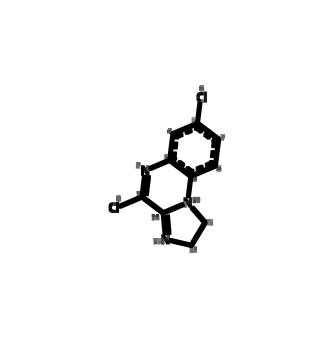 ClC1=Nc2cc(Cl)ccc2N2CCN=C12